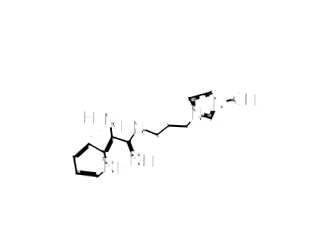 C[n+]1ccn(CCCNC(=N)/C(N)=C2/C=CC=CN2)c1